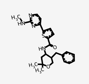 CNc1nccc(-c2ccc(C(=O)NC3CC(C)(C)OCC3Cc3ccccc3)s2)n1